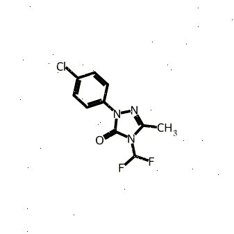 Cc1nn(-c2ccc(Cl)cc2)c(=O)n1C(F)F